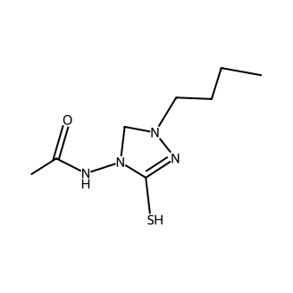 CCCCN1CN(NC(C)=O)C(S)=N1